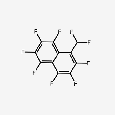 F[C](F)c1c(F)c(F)c(F)c2c(F)c(F)c(F)c(F)c12